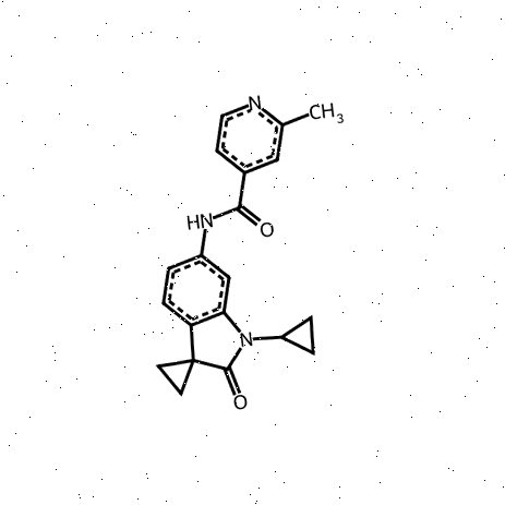 Cc1cc(C(=O)Nc2ccc3c(c2)N(C2CC2)C(=O)C32CC2)ccn1